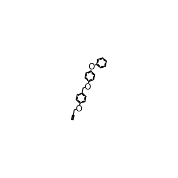 C#CCOc1ccc(COc2ccc(Oc3ccccc3)cc2)cc1